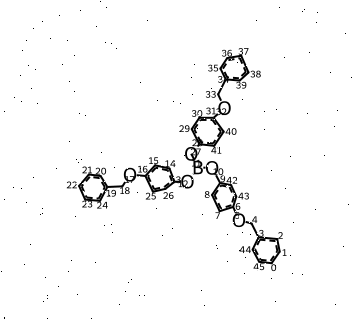 c1ccc(COc2ccc(OB(Oc3ccc(OCc4ccccc4)cc3)Oc3ccc(OCc4ccccc4)cc3)cc2)cc1